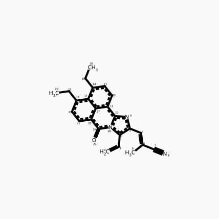 C=Cc1c(/C=C(\C)C#N)nc2c3ccc(CC)c4c(CC)ccc(c(=O)n12)c43